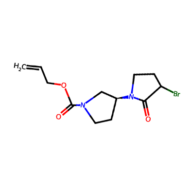 C=CCOC(=O)N1CC[C@H](N2CCC(Br)C2=O)C1